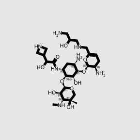 CN[C@@H]1[C@@H](O)[C@@H](O[C@@H]2[C@@H](O)[C@H](O[C@H]3OC(CNCC(O)CN)=CC[C@H]3N)[C@@H](N)C[C@H]2NC(=O)C(O)C2CNC2)OC[C@]1(C)O